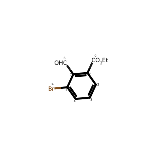 CCOC(=O)c1cccc(Br)c1C=O